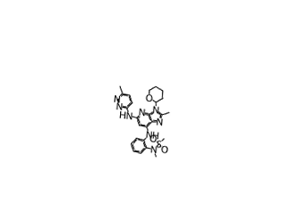 Cc1ccc(Nc2cc(Nc3ccccc3N(C)S(C)(=O)=O)c3nc(C)n(C4CCCCO4)c3n2)nn1